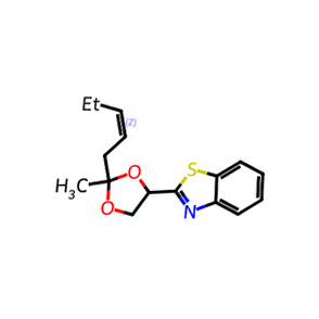 CC/C=C\CC1(C)OCC(c2nc3ccccc3s2)O1